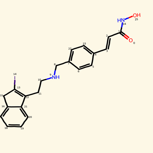 O=C(/C=C/c1ccc(CNCCC2=C(I)Cc3ccccc32)cc1)NO